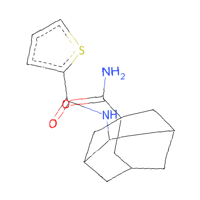 NC(=O)C12CC3CC(C1)C(NC(=O)c1cccs1)C(C3)C2